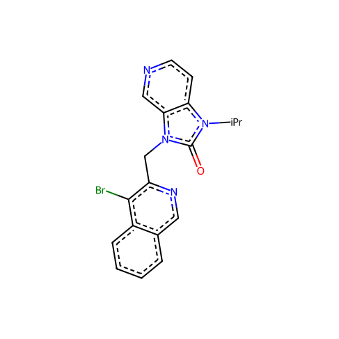 CC(C)n1c(=O)n(Cc2ncc3ccccc3c2Br)c2cnccc21